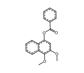 COc1cc(OC(=O)c2ccccc2)c2ccccc2c1OC